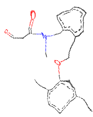 Cc1ccc(C)c(OCc2ccccc2N(C)C(=O)C=O)c1